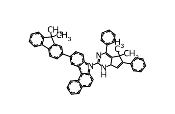 CC1(C)C(c2ccccc2)=CC2NC(n3c4ccc(-c5ccc6c(c5)C(C)(C)c5ccccc5-6)cc4c4c5ccccc5ccc43)=NC(c3ccccc3)=C21